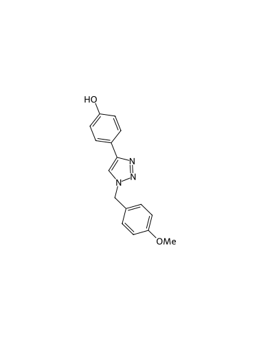 COc1ccc(Cn2cc(-c3ccc(O)cc3)nn2)cc1